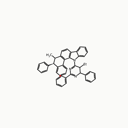 CCC1C(n2c3ccccc3c3ccc4c(c32)-c2ccccc2[C@@H](c2ccccc2)C4C)=NC(c2ccccc2)=NC1c1ccccc1